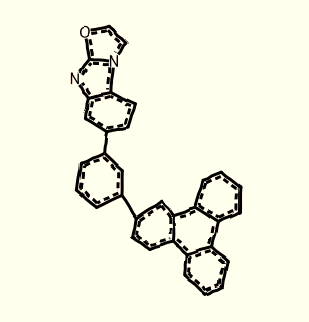 c1cc(-c2ccc3c(c2)nc2occn23)cc(-c2ccc3c4ccccc4c4ccccc4c3c2)c1